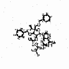 C=CC1(COCc2ccccc2)OC(n2cnc3c(=O)[nH]c(NC(=O)C(C)C)nc32)C(OC(C)=O)C1OCc1ccccc1